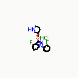 Cl.Fc1ccccc1-n1nc(OC[C@H]2CCCNC2)c2c(F)cccc21